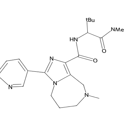 CNC(=O)C(NC(=O)c1nc(-c2cccnc2)n2c1CN(C)CCC2)C(C)(C)C